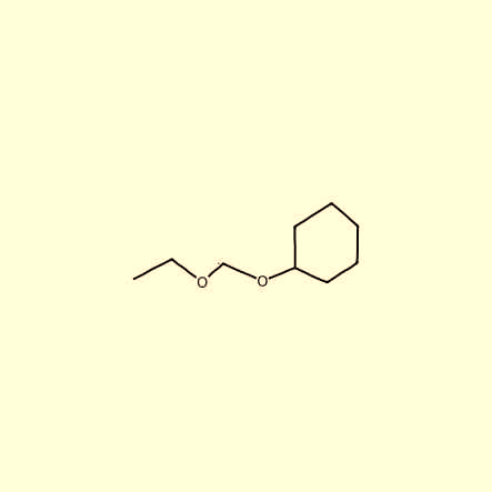 CCO[CH]OC1CCCCC1